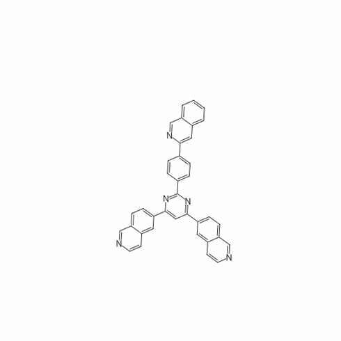 c1ccc2cc(-c3ccc(-c4nc(-c5ccc6cnccc6c5)cc(-c5ccc6cnccc6c5)n4)cc3)ncc2c1